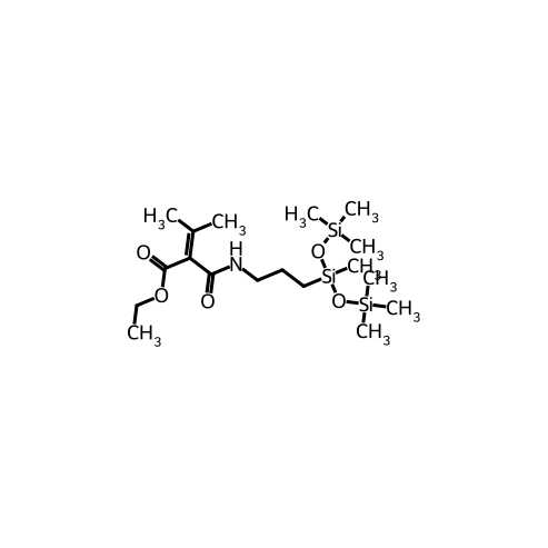 CCOC(=O)C(C(=O)NCCC[Si](C)(O[Si](C)(C)C)O[Si](C)(C)C)=C(C)C